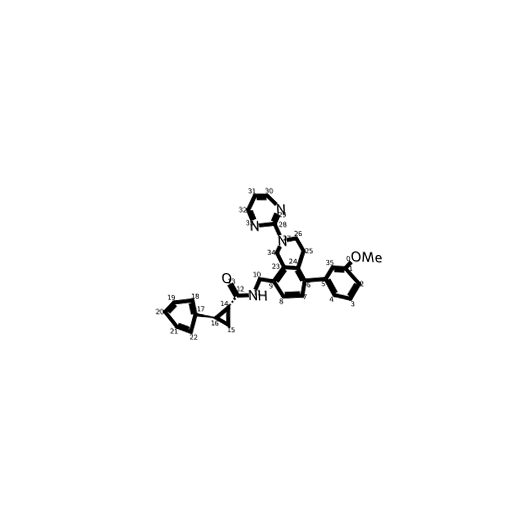 COc1cccc(-c2ccc(CNC(=O)[C@@H]3C[C@H]3c3ccccc3)c3c2CCN(c2ncccn2)C3)c1